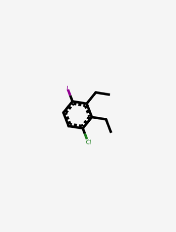 CCc1c(Cl)ccc(I)c1CC